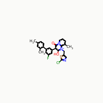 Cc1ccc(-c2cc(F)cc(-c3c(O)[n+](Cc4cnc(Cl)s4)c4c(C)cccn4c3=O)c2)c(C)c1